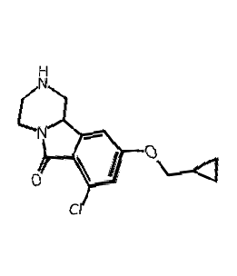 O=C1c2c(Cl)cc(OCC3CC3)cc2C2CNCCN12